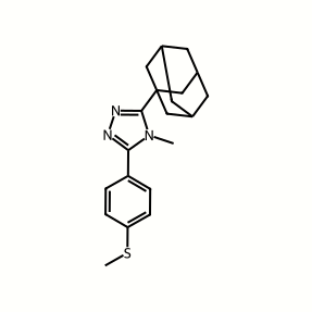 CSc1ccc(-c2nnc(C34CC5CC(CC(C5)C3)C4)n2C)cc1